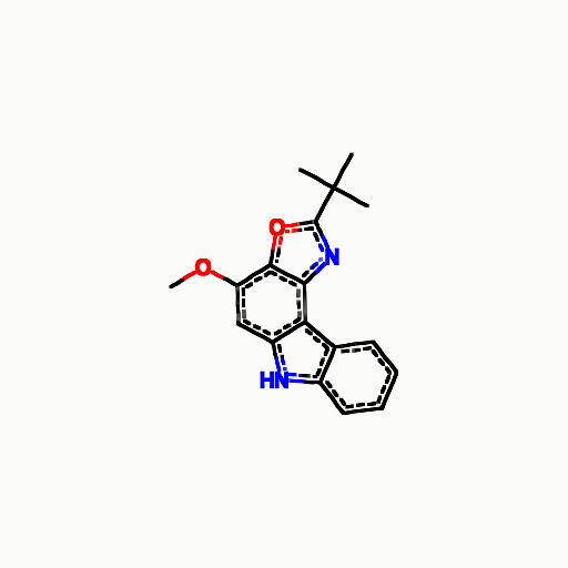 COc1cc2[nH]c3ccccc3c2c2nc(C(C)(C)C)oc12